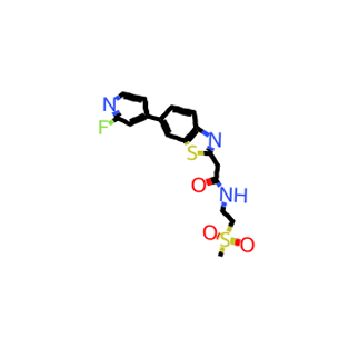 CS(=O)(=O)CCNC(=O)Cc1nc2ccc(-c3ccnc(F)c3)cc2s1